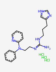 Cl.Cl.Cl.NC(=NCCN(c1ccccc1)c1ccccn1)NCCCc1c[nH]cn1